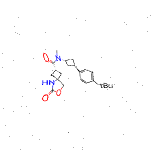 CN(C(=O)[C@H]1C[C@]2(COC(=O)N2)C1)[C@H]1C[C@H](c2ccc(C(C)(C)C)cc2)C1